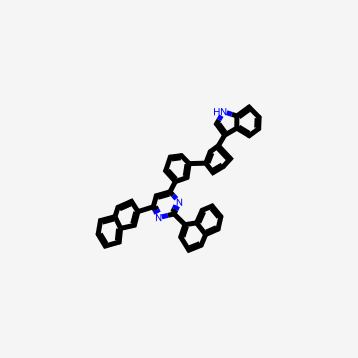 c1cc(-c2cccc(-c3c[nH]c4ccccc34)c2)cc(-c2cc(-c3ccc4ccccc4c3)nc(-c3cccc4ccccc34)n2)c1